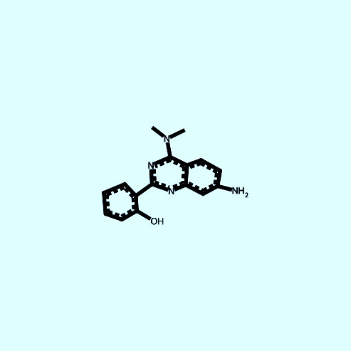 CN(C)c1nc(-c2ccccc2O)nc2cc(N)ccc12